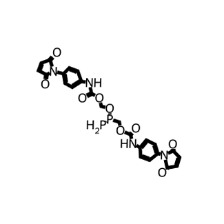 O=C(Nc1ccc(N2C(=O)C=CC2=O)cc1)OCOP(P)COC(=O)Nc1ccc(N2C(=O)C=CC2=O)cc1